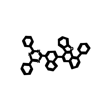 c1ccc(-c2nc(-c3ccccc3)nc(-c3ccc(-c4cc5cccc(-c6ccccc6)c5c5oc6ccccc6c45)c4ccccc34)n2)cc1